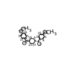 COc1ccc(C(=O)[C@H]2CC[C@H](C(=O)c3ccc(OC)cc3)CC2)cc1